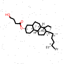 CC[C@H](CC[C@@H](C)[C@H]1CC[C@H]2[C@@H]3CCC4C[C@@H](OC(=O)CCCO)CC[C@]4(C)[C@H]3CC[C@]12C)C(C)C